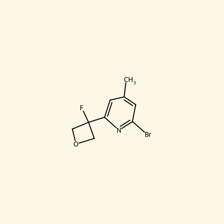 Cc1cc(Br)nc(C2(F)COC2)c1